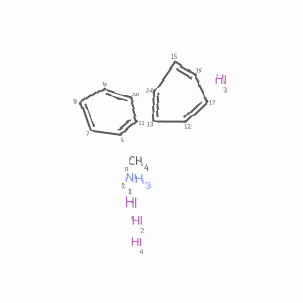 C.I.I.I.I.N.c1ccccc1.c1ccccc1